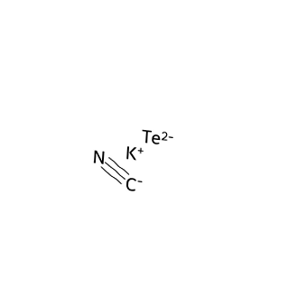 [C-]#N.[K+].[Te-2]